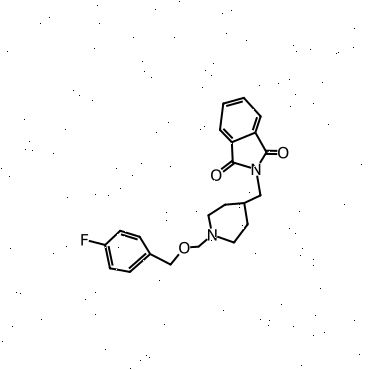 O=C1c2ccccc2C(=O)N1CC1CCN(COCc2ccc(F)cc2)CC1